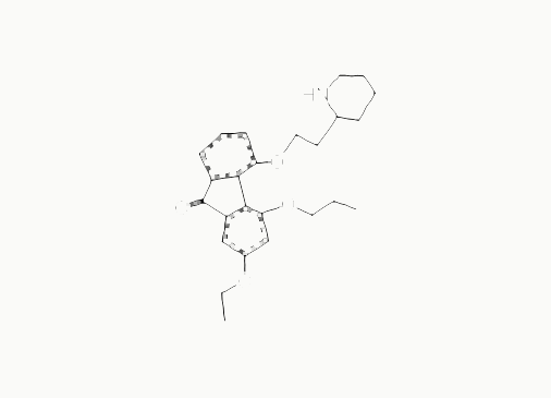 CCCOc1cc(OCC)cc2c1-c1c(OCCC3CCCCN3)cccc1C2=O